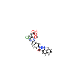 COc1nc(Cc2ccc(NC(=O)c3ccc4ccccc4c3)cc2)nc(Cl)c1CC(=O)O